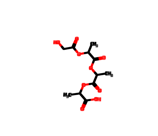 CC(OC(=O)C(C)OC(=O)C(C)OC(=O)CO)C(=O)O